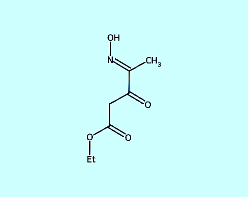 CCOC(=O)CC(=O)C(C)=NO